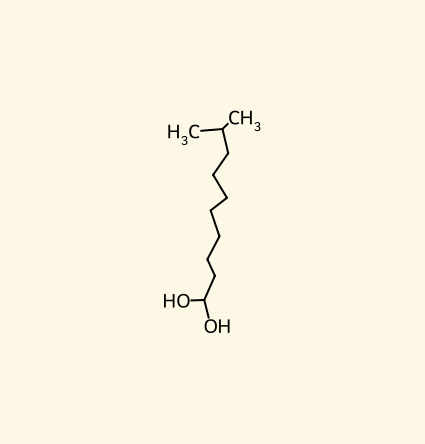 CC(C)CCCCCCCC(O)O